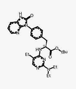 CCc1cnc(N(CC)CC)nc1N[C@@H](Cc1ccc(-n2c(=O)[nH]c3cccnc32)cc1)C(=O)OC(C)(C)C